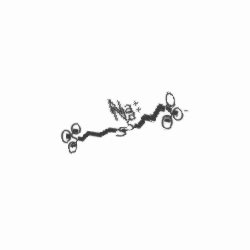 O=S(=O)([O-])CCCCSSCCCCS(=O)(=O)[O-].[Na+].[Na+]